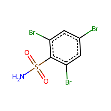 NS(=O)(=O)c1c(Br)cc(Br)cc1Br